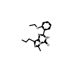 CCCc1nc(C)n2c(=O)[nH]c(-c3ccccc3OCC)nc12